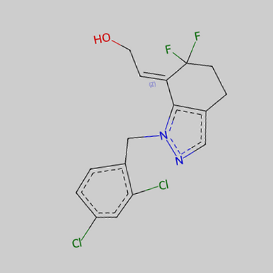 OC/C=C1/c2c(cnn2Cc2ccc(Cl)cc2Cl)CCC1(F)F